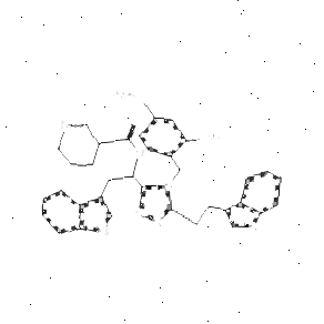 COc1ccc(Cn2c(CCc3c[nH]c4ccccc34)nnc2C(Cc2c[nH]c3ccccc23)NC(=O)C2CCCNC2)c(OC)c1